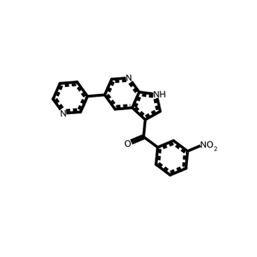 O=C(c1cccc([N+](=O)[O-])c1)c1c[nH]c2ncc(-c3cccnc3)cc12